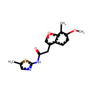 COc1ccc2c(CC(=O)Nc3ncc(C)s3)coc2c1C